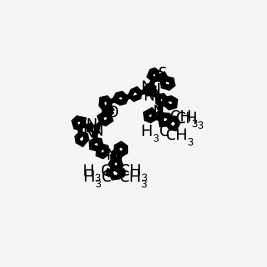 CC1(C)CCC(C)(C)c2cc3c(cc21)c1ccccc1n3-c1ccc2ccc(-c3nc(-c4ccc5oc6c(-c7ccc(C8C=CC(c9nc(-c%10cc(-n%11c%12ccccc%12c%12cc%13c(cc%12%11)C(C)(C)CCC%13(C)C)c%11ccccc%11c%10)nc(-c%10cccc%11sc%12ccccc%12c%10%11)n9)=CC8)cc7)cccc6c5c4)nc(-c4ccccc4C4=CCCC=C4)n3)cc2c1